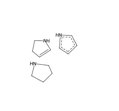 C1=CNCC1.C1CCNC1.c1cc[nH]c1